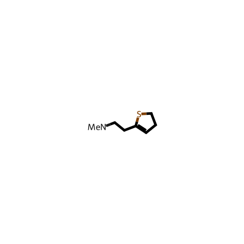 CNCCC1=CCCS1